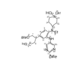 CCN(c1ccc(C(COC)CC(=O)O)cc1Nc1cnc(OC)nc1)C1CCS(O)(O)CC1